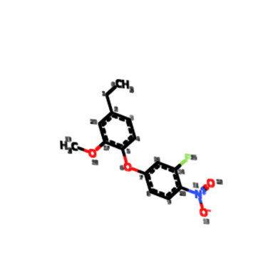 CCc1ccc(Oc2ccc([N+](=O)[O-])c(F)c2)c(OC)c1